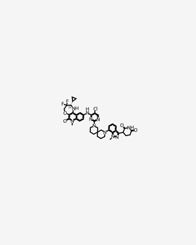 Cn1nc(C2CCC(=O)NC2=O)c2cccc(N3CCCC4(CCCN(c5ncc(Cl)c(Nc6ccc7c(c6)c6c(c(=O)n7C)OCC(F)(F)[C@H](C7CC7)N6)n5)C4)C3)c21